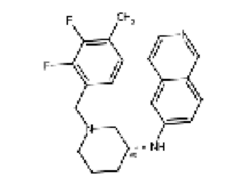 Cc1ccc(CN2CCC[C@@H](Nc3ccc4cnccc4c3)C2)c(F)c1F